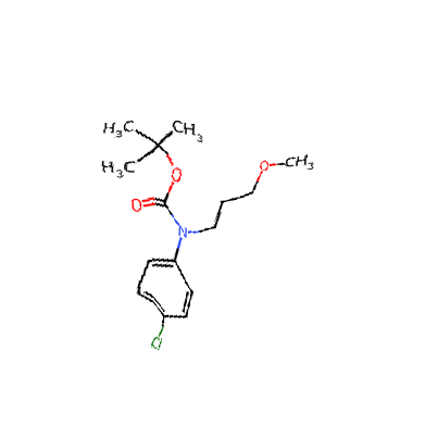 COCCCN(C(=O)OC(C)(C)C)c1ccc(Cl)cc1